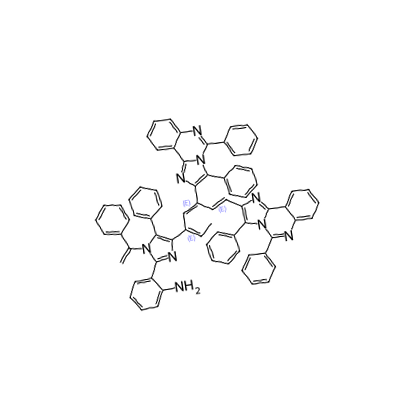 C=C(c1ccccc1)n1c(-c2ccccc2N)nc(C(=C/C)/C=C(\C=C\c2nc3c4ccccc4nc(-c4ccccc4)n3c2-c2ccccc2)c2nc3c4ccccc4nc(-c4ccccc4)n3c2-c2ccccc2)c1-c1ccccc1